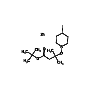 CC(C)(C)OC(=O)CC(C)(C)ON1CCC(I)CC1.[Zn]